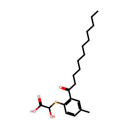 CCCCCCCCCCCC(=O)c1cc(C)ccc1SC(O)C(=O)O